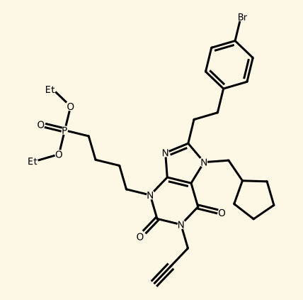 C#CCn1c(=O)c2c(nc(CCc3ccc(Br)cc3)n2CC2CCCC2)n(CCCCP(=O)(OCC)OCC)c1=O